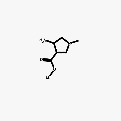 CCOC(=O)C1CN(C)CC1N